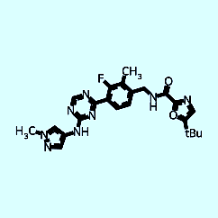 Cc1c(CNC(=O)c2ncc(C(C)(C)C)o2)ccc(-c2ncnc(Nc3cnn(C)c3)n2)c1F